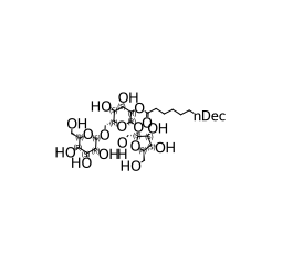 CCCCCCCCCCCCCCCC(=O)O[C@H]1[C@@H](O[C@]2(CO)O[C@H](CO)[C@@H](O)[C@@H]2O)O[C@H](CO[C@H]2O[C@H](CO)[C@H](O)[C@H](O)[C@H]2O)[C@@H](O)[C@@H]1O